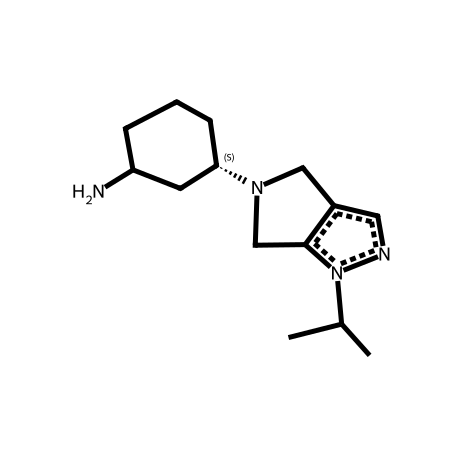 CC(C)n1ncc2c1CN([C@H]1CCCC(N)C1)C2